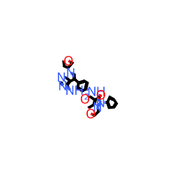 Nc1ncnc2c1c(-c1ccc(NC(=O)c3c4n(n(-c5ccccc5)c3=O)CCOC4)cc1)cn2C1CCOC1